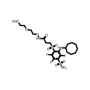 NS(=O)(=O)c1c(F)c(F)c(S(=O)(=O)CCC(=O)NOCCOCCC=O)c(NC2CCCCCCC2)c1F